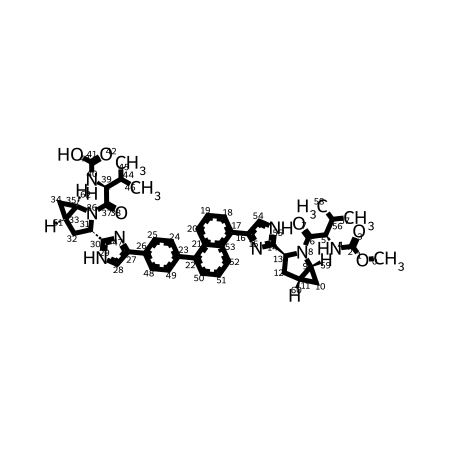 COC(=O)N[C@H](C(=O)N1[C@@H]2C[C@@H]2C[C@H]1c1nc(-c2cccc3c(-c4ccc(-c5c[nH]c([C@@H]6C[C@H]7C[C@H]7N6C(=O)[C@@H](NC(=O)O)C(C)C)n5)cc4)cccc23)c[nH]1)C(C)C